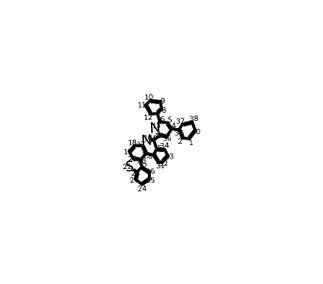 c1ccc(-c2cc(-c3ccccc3)nc(-c3nc4ccc5sc6ccccc6c5c4c4ccccc34)c2)cc1